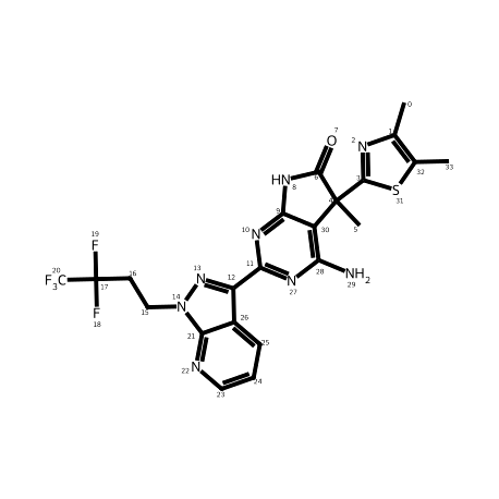 Cc1nc(C2(C)C(=O)Nc3nc(-c4nn(CCC(F)(F)C(F)(F)F)c5ncccc45)nc(N)c32)sc1C